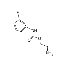 NCCOC(=O)Nc1cccc(F)c1